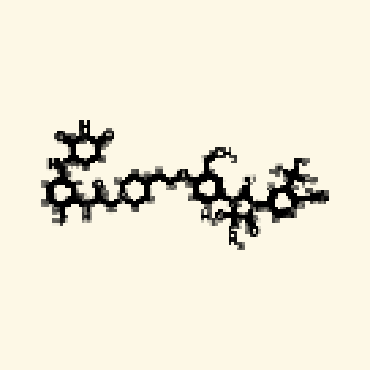 CCc1cc(N2C(=S)N(c3cnc(C#N)c(C(F)(F)F)c3)C(=O)C2(C)C)ccc1OCCC1CCN(CC(=O)Nc2cc(NC3CCC(=O)NC3=O)ccc2F)CC1